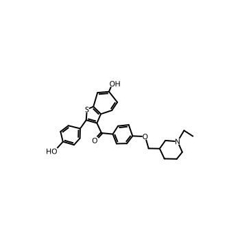 CCN1CCCC(COc2ccc(C(=O)c3c(-c4ccc(O)cc4)sc4cc(O)ccc34)cc2)C1